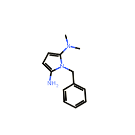 CN(C)c1ccc(N)n1Cc1ccccc1